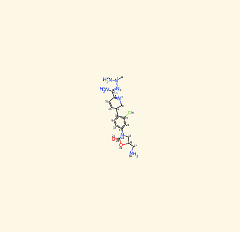 CN(N)/N=C(\N)C1=NCC(c2ccc(N3CC(CN)OC3=O)cc2F)C=C1